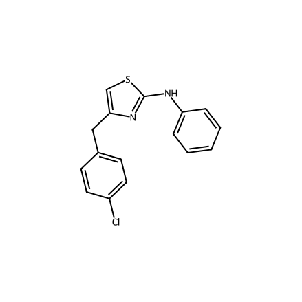 Clc1ccc(Cc2csc(Nc3ccccc3)n2)cc1